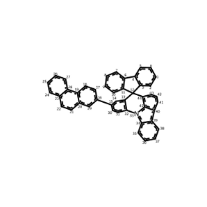 c1ccc2c(c1)-c1ccccc1C21c2cc(-c3ccc4c(ccc5ccccc54)c3)ccc2-n2c3ccccc3c3cccc1c32